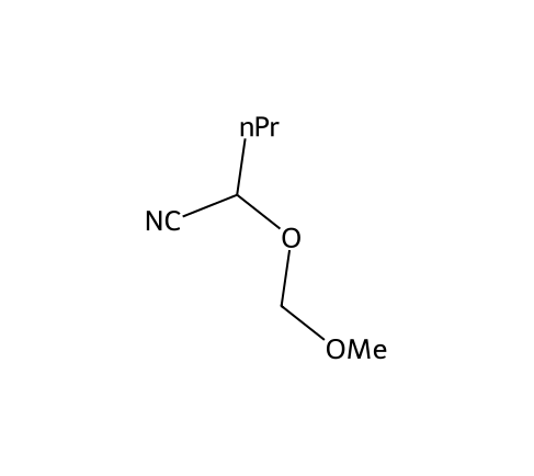 CCCC(C#N)OCOC